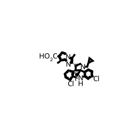 Cc1c(C(=O)O)ccn2c(C)c([C@@H]3CN(CC4CC4)C4(C(=O)Nc5cc(Cl)ccc54)[C@H]3c3cccc(Cl)c3F)nc12